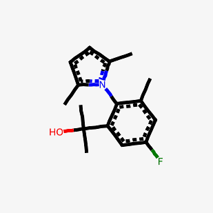 Cc1cc(F)cc(C(C)(C)O)c1-n1c(C)ccc1C